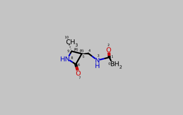 BC(=O)NC[C@H]1C(=O)N[C@@H]1C